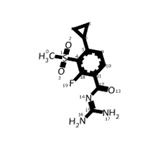 CS(=O)(=O)c1c(C2CC2)ccc(C(=O)N=C(N)N)c1F